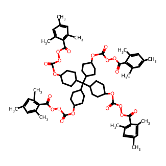 Cc1cc(C)c(C(=O)OOC(=O)OC2CCC(C(C3CCC(OC(=O)OOC(=O)c4c(C)cc(C)cc4C)CC3)(C3CCC(OC(=O)OOC(=O)c4c(C)cc(C)cc4C)CC3)C3CCC(OC(=O)OOC(=O)c4c(C)cc(C)cc4C)CC3)CC2)c(C)c1